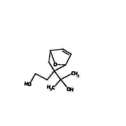 CC(C)(O)C1(CCO)CC2C=CC1O2